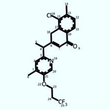 Cc1cc(C(C)C2=CC(=O)c3ccc(C)c(Cl)c3C2)ncc1OCCC(F)(F)F